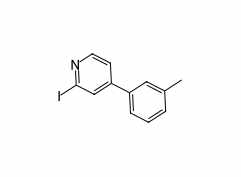 Cc1cccc(-c2ccnc(I)c2)c1